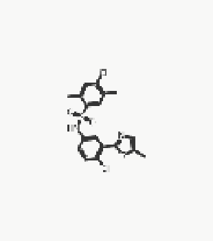 Cc1cnc(-c2cc(NS(=O)(=O)c3cc(C)c(Cl)cc3C)ccc2Cl)s1